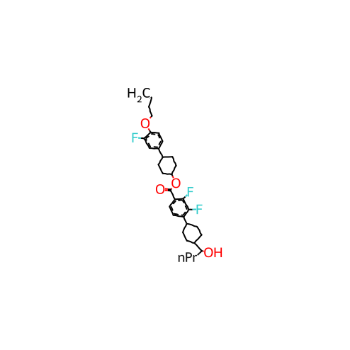 C=CCCOc1ccc(C2CCC(OC(=O)c3ccc(C4CCC(C(O)CCC)CC4)c(F)c3F)CC2)cc1F